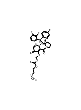 COCCOC(=O)OCOc1c2n(ncc1=O)[C@@H]([C@H](c1ccc(F)cc1)c1cccc(F)c1F)[C@H]1CCCN1C2=O